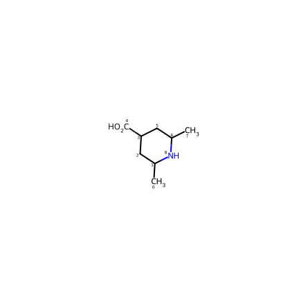 CC1CC(C(=O)O)CC(C)N1